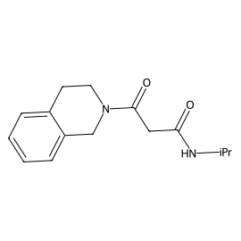 CC(C)NC(=O)CC(=O)N1CCc2ccccc2C1